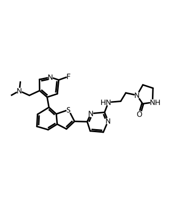 CN(C)Cc1cnc(F)cc1-c1cccc2cc(-c3ccnc(NCCN4CCNC4=O)n3)sc12